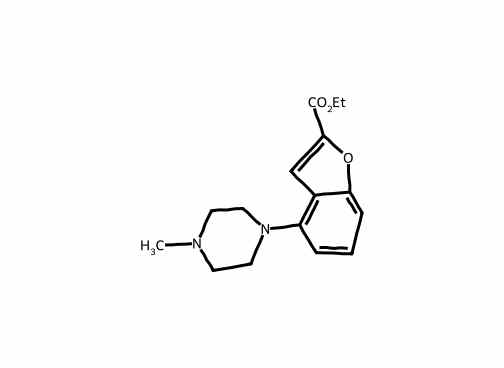 CCOC(=O)c1cc2c(N3CCN(C)CC3)cccc2o1